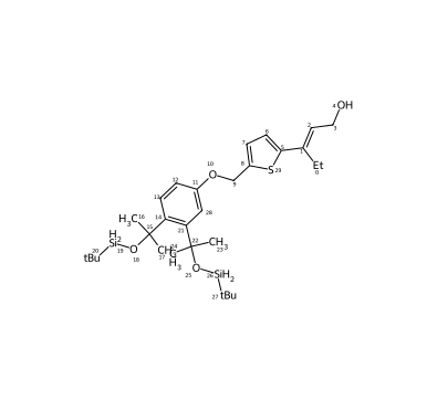 CCC(=CCO)c1ccc(COc2ccc(C(C)(C)O[SiH2]C(C)(C)C)c(C(C)(C)O[SiH2]C(C)(C)C)c2)s1